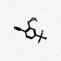 CSc1cc(C(F)(F)F)ccc1C#N